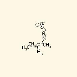 CC(C)=CCC/C(C)=C/CC/C(C)=C/CN1CCN(c2ccc3c(c2)C[N+]([O-])(C2CCCCC2)C3)CC1